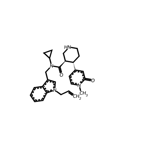 C=CCn1cc(CN(C(=O)[C@H]2CNCC[C@@H]2c2ccn(C)c(=O)c2)C2CC2)c2ccccc21